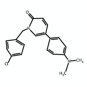 CN(C)c1ccc(-c2ccc(=O)n(Cc3ccc(Cl)cc3)c2)cc1